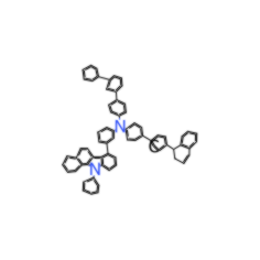 C1=Cc2ccccc2C(c2ccc(-c3ccc(N(c4ccc(-c5cccc(-c6ccccc6)c5)cc4)c4cccc(-c5cccc6c5c5ccc7ccccc7c5n6-c5ccccc5)c4)cc3)cc2)C1